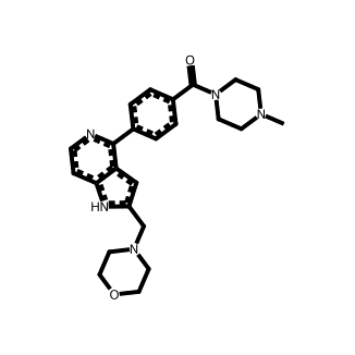 CN1CCN(C(=O)c2ccc(-c3nccc4[nH]c(CN5CCOCC5)cc34)cc2)CC1